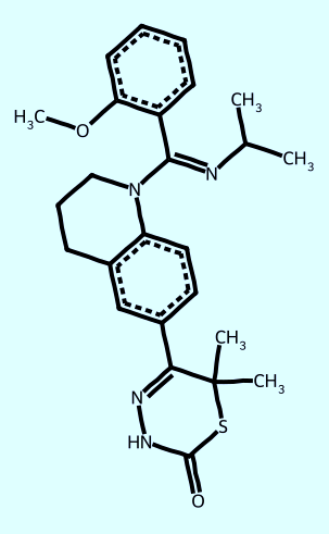 COc1ccccc1C(=NC(C)C)N1CCCc2cc(C3=NNC(=O)SC3(C)C)ccc21